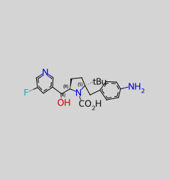 CC(C)(C)[C@@]1(Cc2ccc(N)cc2)CC[C@H]([C@H](O)c2cncc(F)c2)N1C(=O)O